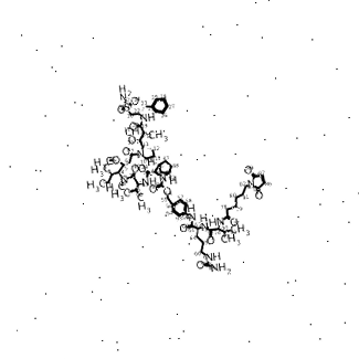 CC[C@H](C)[C@@H]([C@@H](CC(=O)N1CCC[C@H]1[C@H](OC)[C@@H](C)C(=O)N[C@@H](Cc1ccccc1)CS(N)(=O)=O)OC)N(C)C(=O)[C@@H](NC(=O)[C@@H]1[C@H]2CC[C@H](C2)N1C(=O)OCc1ccc(NC(=O)[C@H](CCCNC(N)=O)NC(=O)[C@@H](NC(=O)CCCCCN2C(=O)C=CC2=O)C(C)C)cc1)C(C)C